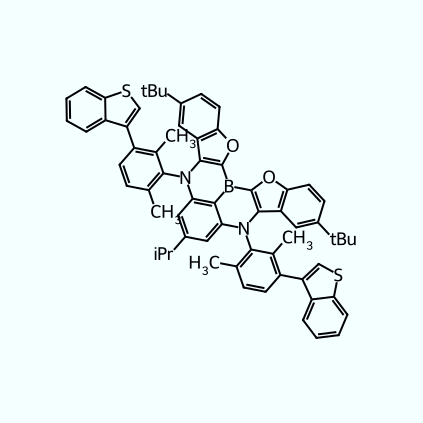 Cc1ccc(-c2csc3ccccc23)c(C)c1N1c2cc(C(C)C)cc3c2B(c2oc4ccc(C(C)(C)C)cc4c21)c1oc2ccc(C(C)(C)C)cc2c1N3c1c(C)ccc(-c2csc3ccccc23)c1C